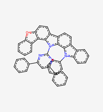 c1ccc(-c2cc(-c3ccccc3)nc(-n3c4c(ccc5oc6ccccc6c54)c4ccc5c6ccccc6n(-c6ccccc6)c5c43)n2)cc1